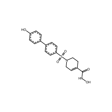 O=C(NO)C1=CCN(S(=O)(=O)c2ccc(-c3ccc(O)cc3)cc2)CC1